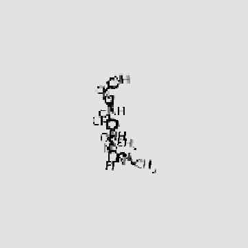 C=CCn1cc(-c2cnc(C(=O)Nc3ccc(C(=O)NC4C5CN(C(=O)C6CCNCC6)CC54)c(Cl)c3)n2C)c(C(F)(F)F)n1